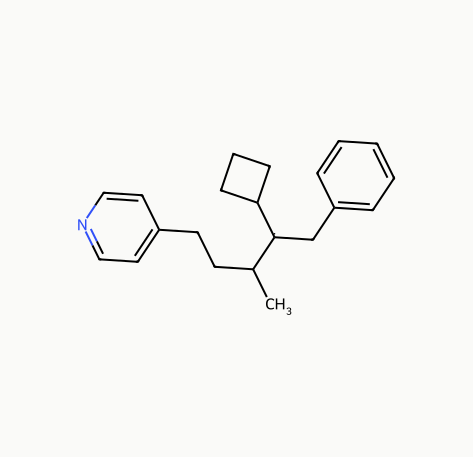 CC(CCc1ccncc1)[C](Cc1ccccc1)C1CCC1